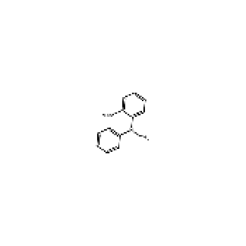 C[N]c1ccccc1N(C)c1ccccc1